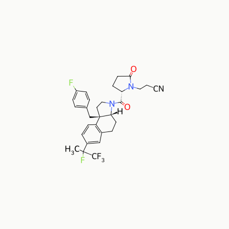 CC(F)(c1ccc2c(c1)CC[C@H]1N(C(=O)[C@@H]3CCC(=O)N3CCC#N)CC[C@@]21Cc1ccc(F)cc1)C(F)(F)F